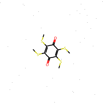 CSC1=C(SC)C(=O)C(SC)=C(SC)C1=O